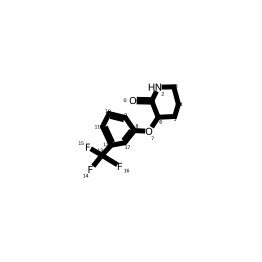 O=C1NCCCC1Oc1cccc(C(F)(F)F)c1